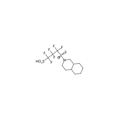 O=S(=O)(O)C(F)(F)C(F)(F)C(F)(F)S(=O)(=S)N1CCC2CCCCC2C1